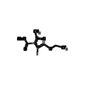 COC(=O)c1c(I)c(OCC(F)(F)F)nn1C